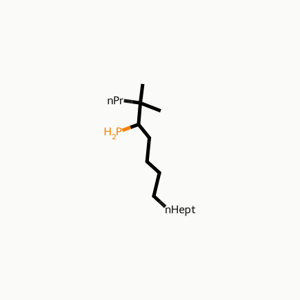 CCCCCCCCCCCC(P)C(C)(C)CCC